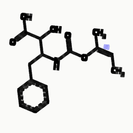 C/C=C(/C)OC(=O)NC(Cc1ccccc1)C(O)C(=O)O